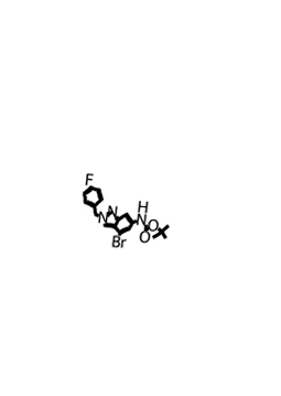 CC(C)(C)OC(=O)Nc1cc(Br)c2cn(Cc3ccc(F)cc3)nc2c1